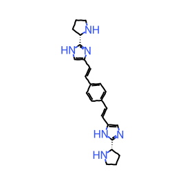 C(=C\c1c[nH]c([C@@H]2CCCN2)n1)/c1ccc(/C=C/c2cnc([C@@H]3CCCN3)[nH]2)cc1